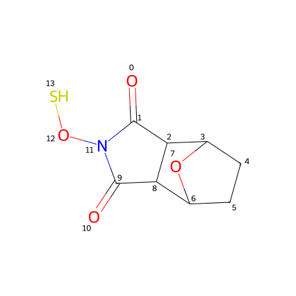 O=C1C2C3CCC(O3)C2C(=O)N1OS